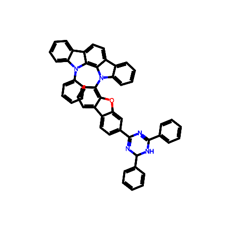 c1ccc(C2=NC(c3ccc4c(c3)oc3c(-n5c6ccccc6c6ccc7c8ccccc8n(-c8ccccc8)c7c65)cccc34)=NC(c3ccccc3)N2)cc1